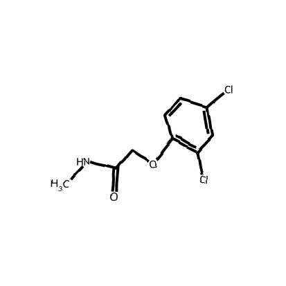 CNC(=O)COc1ccc(Cl)cc1Cl